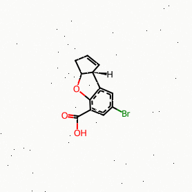 O=C(O)c1cc(Br)cc2c1OC1CC=C[C@H]21